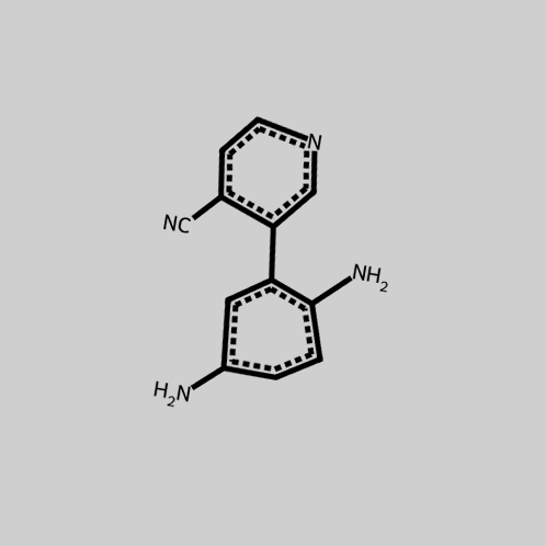 N#Cc1ccncc1-c1cc(N)ccc1N